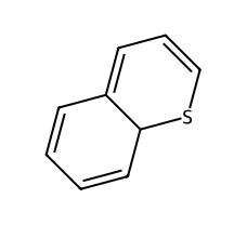 C1=CSC2C=CC=CC2=C1